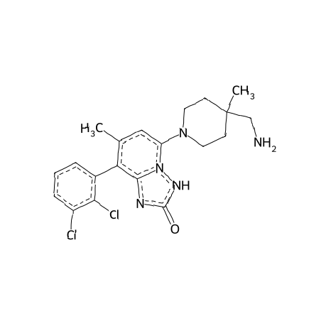 Cc1cc(N2CCC(C)(CN)CC2)n2[nH]c(=O)nc2c1-c1cccc(Cl)c1Cl